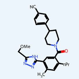 CCCc1cc(C)c(-c2nnc(COC)[nH]2)cc1C(=O)N1CCC(c2ccc(C#N)cc2)CC1